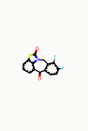 O=C1c2ccc(F)c(F)c2Cn2c(=O)sc3cccc1c32